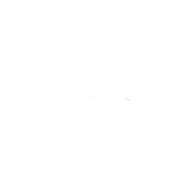 Cc1cc(Oc2cccc(F)c2)ccn1